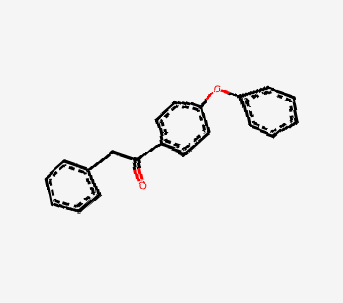 O=C(Cc1ccccc1)c1ccc(Oc2ccccc2)cc1